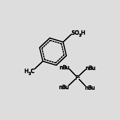 CCCC[P](CCCC)(CCCC)CCCC.Cc1ccc(S(=O)(=O)O)cc1